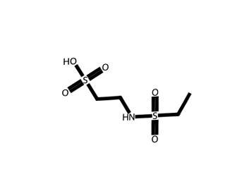 CCS(=O)(=O)NCCS(=O)(=O)O